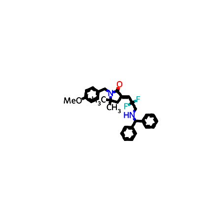 COc1ccc(CN2C(=O)C(=CC(F)(F)CNC(c3ccccc3)c3ccccc3)CC2(C)C)cc1